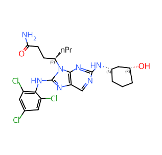 CCC[C@H](CCC(N)=O)n1c(Nc2c(Cl)cc(Cl)cc2Cl)nc2cnc(N[C@H]3CCC[C@@H](O)C3)nc21